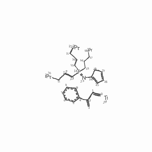 C=CC(=C)c1ccccc1.CC(C)CCCP(CCCC(C)C)(CCCC(C)C)=NC1=CC=CC1.[Ti]